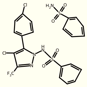 NS(=O)(=O)c1ccccc1.O=S(=O)(Nn1nc(C(F)(F)F)c(Cl)c1-c1ccc(Cl)cc1)c1ccccc1